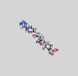 Cc1c([C@H]2CN3CCN(C(=O)Cc4cnc(-n5cnnn5)nc4)C[C@H]3CO2)ccc2c1COC2=O